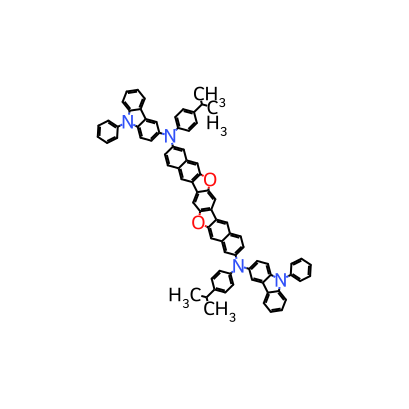 CC(C)c1ccc(N(c2ccc3cc4c(cc3c2)oc2cc3c(cc24)oc2cc4cc(N(c5ccc(C(C)C)cc5)c5ccc6c(c5)c5ccccc5n6-c5ccccc5)ccc4cc23)c2ccc3c(c2)c2ccccc2n3-c2ccccc2)cc1